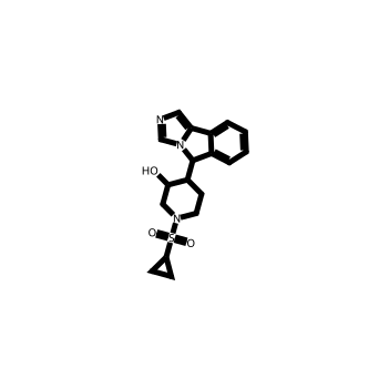 O=S(=O)(C1CC1)N1CCC(C2c3ccccc3-c3cncn32)C(O)C1